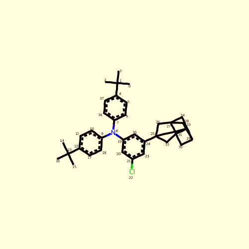 CC(C)(C)c1ccc(N(c2ccc(C(C)(C)C)cc2)c2cc(Cl)cc(C34CC56CC7CC5(C3)C74C6)c2)cc1